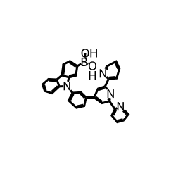 OB(O)c1ccc2c3ccccc3n(-c3cccc(-c4cc(-c5ccccn5)nc(-c5ccccn5)c4)c3)c2c1